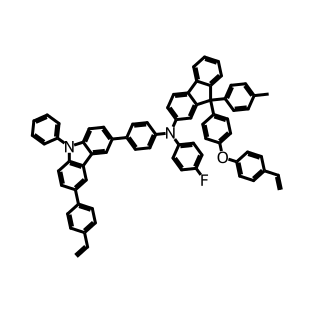 C=Cc1ccc(Oc2ccc(C3(c4ccc(C)cc4)c4ccccc4-c4ccc(N(c5ccc(F)cc5)c5ccc(-c6ccc7c(c6)c6cc(-c8ccc(C=C)cc8)ccc6n7-c6ccccc6)cc5)cc43)cc2)cc1